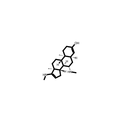 CNC1=CC[C@H]2[C@@H]3[C@@H](NC)C[C@@H]4C=C(O)CC[C@]4(C)[C@H]3CC[C@]12C